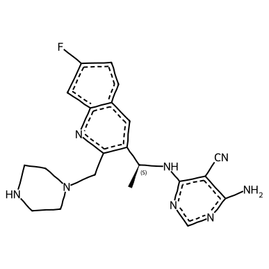 C[C@H](Nc1ncnc(N)c1C#N)c1cc2ccc(F)cc2nc1CN1CCNCC1